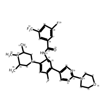 CC1CN(c2cc(F)c(-c3cnc(N4CCOCC4)nc3)cc2NC(=O)c2cc(F)cc(C(F)(F)F)c2)CC(C)N1C